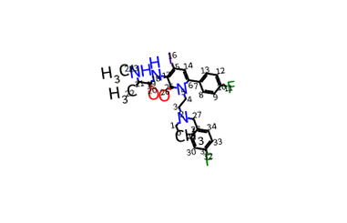 CCN(CCn1c(-c2ccc(F)cc2)cc(I)c(NC(=O)C(C)NC)c1=O)Cc1ccc(F)cc1